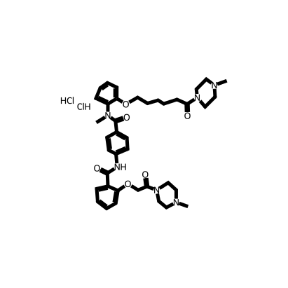 CN1CCN(C(=O)CCCCCOc2ccccc2N(C)C(=O)c2ccc(NC(=O)c3ccccc3OCC(=O)N3CCN(C)CC3)cc2)CC1.Cl.Cl